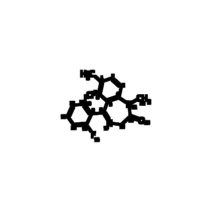 Cc1ccc2c(c1Cl)C(c1c(F)cccc1F)=NCC(=O)N2C